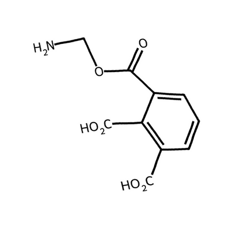 NCOC(=O)c1cccc(C(=O)O)c1C(=O)O